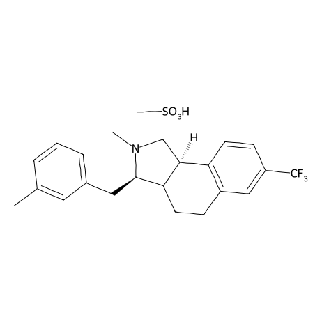 CS(=O)(=O)O.Cc1cccc(C[C@@H]2C3CCc4cc(C(F)(F)F)ccc4[C@@H]3CN2C)c1